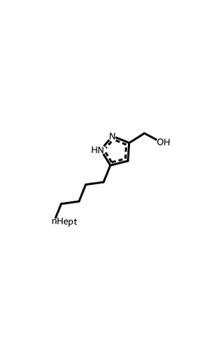 CCCCCCCCCCCc1cc(CO)n[nH]1